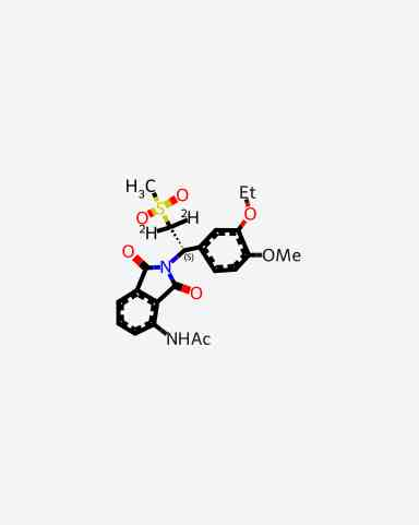 [2H]C([2H])([C@H](c1ccc(OC)c(OCC)c1)N1C(=O)c2cccc(NC(C)=O)c2C1=O)S(C)(=O)=O